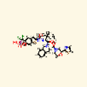 CC(C)(C)[C@H](NC(=O)c1cc2cc(C(F)(F)P(=O)(O)O)ccc2s1)C(=O)N1Cc2ccccc2C[C@H]1C(=O)N1CCOC(c2nccs2)C1